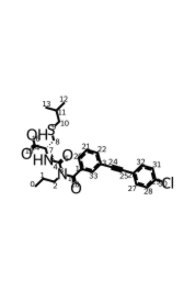 CCCN(C(=O)N[C@@H](CSCC(C)C)C(=O)O)C(=O)c1cccc(C#Cc2ccc(Cl)cc2)c1